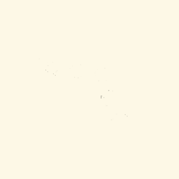 Cc1nnc(-c2ccc(-c3cc(C(=O)Nc4cccc(N5CCOCC5)c4)ccc3C)cc2)o1